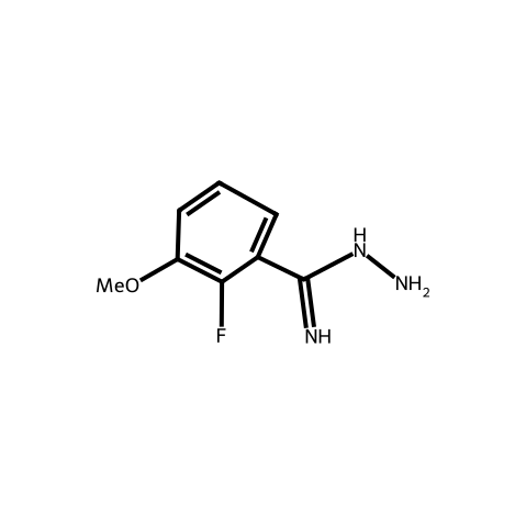 COc1cccc(C(=N)NN)c1F